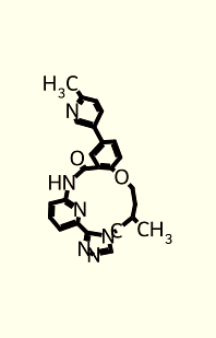 Cc1ccc(-c2ccc3c(c2)C(=O)Nc2cccc(n2)-c2nncn2CC(C)CCO3)cn1